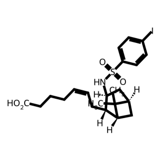 CC1(C)[C@H]2C[C@H](NS(=O)(=O)c3ccc(I)cc3)[C@@H](C/C=C\CCCC(=O)O)[C@H]1C2